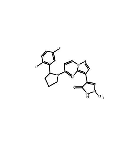 Cn1cc(-c2cnn3ccc(N4CCCC4c4cc(F)ccc4F)nc23)c(=O)[nH]1